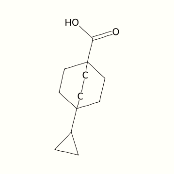 O=C(O)C12CCC(C3CC3)(CC1)CC2